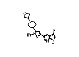 CC(C)n1nc(-c2cnc3[nH]cc(F)c3c2)cc1C1CCN(C2COC2)CC1